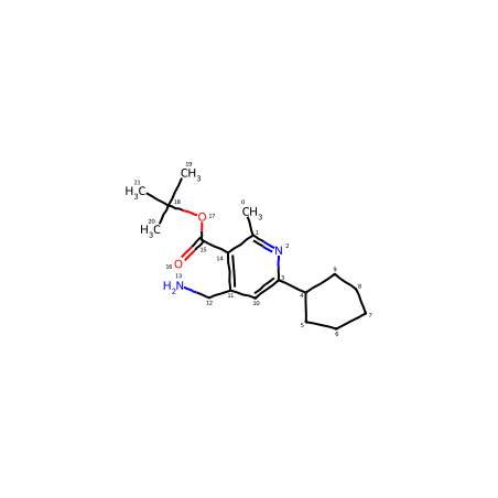 Cc1nc(C2CCCCC2)cc(CN)c1C(=O)OC(C)(C)C